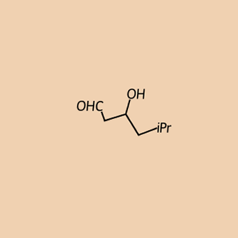 CC(C)CC(O)CC=O